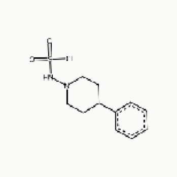 O=S(=O)(Cl)NN1CCC(c2ccccc2)CC1